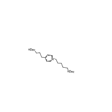 CCCCCCCCCCCCCCC[n+]1ccc(CCCCCCCCCCCCC)cc1